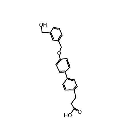 O=C(O)CCc1ccc(-c2ccc(OCc3cccc(CO)c3)cc2)cc1